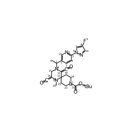 CC(c1ccc(-n2cc(F)cn2)nc1)N1CC(=C=O)N(C)C2(CCN(C(=O)OC(C)(C)C)CC2)C1=C=O